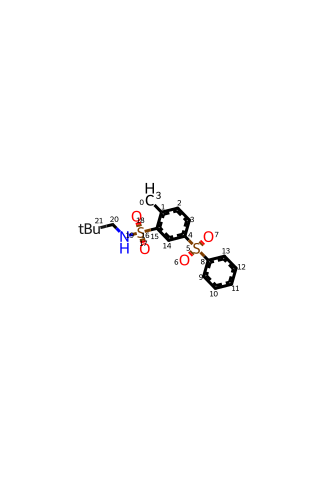 Cc1ccc(S(=O)(=O)c2ccccc2)cc1S(=O)(=O)NCC(C)(C)C